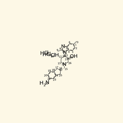 Cc1ccc2c(c1)nc(C)n2[C@@H]1CCN(C[C@H]2Cc3ccc(N)cc3C2)C[C@H]1O.Cl.Cl.Cl